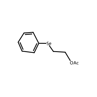 CC(=O)OCC[Se]c1ccccc1